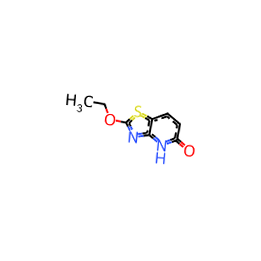 CCOc1nc2[nH]c(=O)ccc2s1